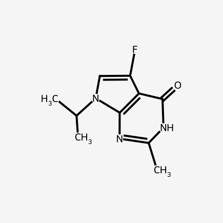 Cc1nc2c(c(F)cn2C(C)C)c(=O)[nH]1